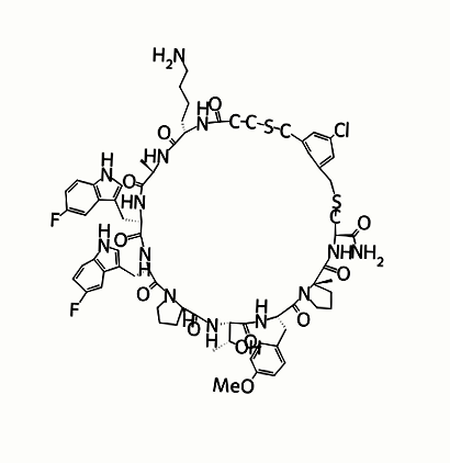 COc1ccc(C[C@@H]2NC(=O)[C@H]([C@@H](C)O)NC(=O)[C@@H]3CCCN3C(=O)[C@H](Cc3c[nH]c4ccc(F)cc34)NC(=O)[C@H](Cc3c[nH]c4ccc(F)cc34)NC(=O)[C@@H](C)NC(=O)[C@H](CCCCN)NC(=O)CCSCc3cc(Cl)cc(c3)CSC[C@@H](C(N)=O)NC(=O)[C@]3(C)CCCN3C2=O)cc1